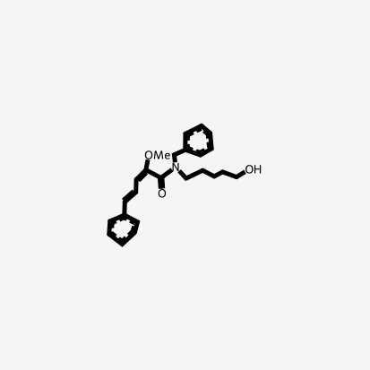 COC(=CC=Cc1ccccc1)C(=O)N(CCCCCO)Cc1ccccc1